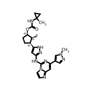 Cn1cc(-c2cc3nccn3c(Nc3cc([C@H]4CC[C@@H](OC(=O)NC5(C)CC5)[C@H]4F)[nH]n3)n2)cn1